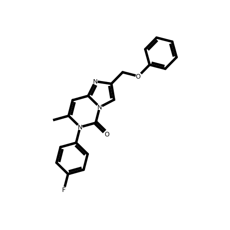 Cc1cc2nc(COc3ccccc3)cn2c(=O)n1-c1ccc(F)cc1